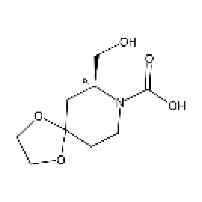 O=C(O)N1CCC2(C[C@H]1CO)OCCO2